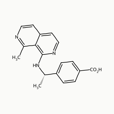 Cc1nccc2ccnc(N[C@@H](C)c3ccc(C(=O)O)cc3)c12